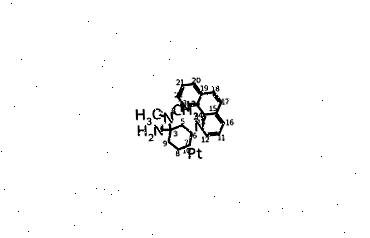 CN(C)C1(N)CCCCC1.[Pt].c1cnc2c(c1)ccc1cccnc12